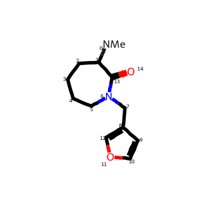 CNC1CCCCN(Cc2ccoc2)C1=O